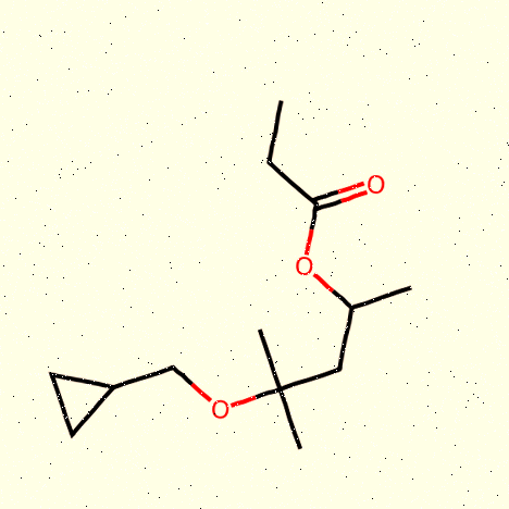 CCC(=O)OC(C)CC(C)(C)OCC1CC1